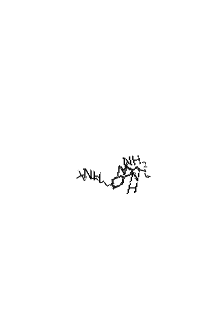 CCCc1cc2c(N)nc3cc(CCCCCNC(C)(C)C)ccc3c2[nH]1